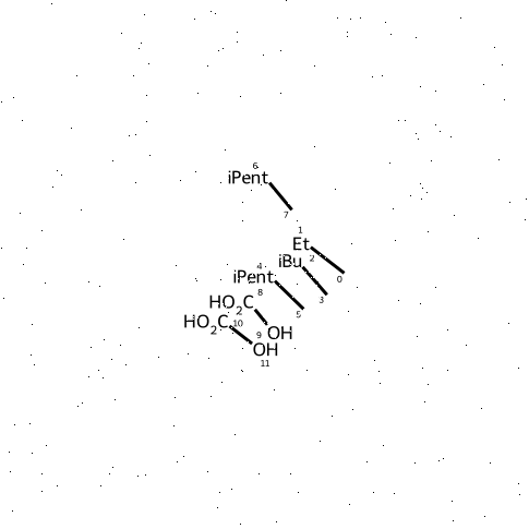 CCC.CCC(C)C.CCCC(C)C.CCCC(C)C.O=C(O)O.O=C(O)O